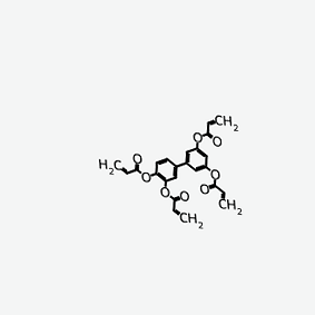 C=CC(=O)Oc1cc(OC(=O)C=C)cc(-c2ccc(OC(=O)C=C)c(OC(=O)C=C)c2)c1